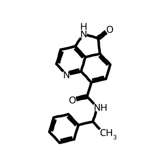 CC(NC(=O)c1ccc2c3c(ccnc13)NC2=O)c1ccccc1